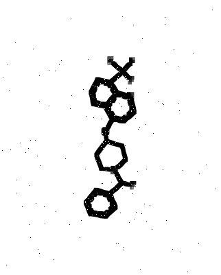 FC(c1ccccc1)N1CCC(Oc2ccnc3c(C(F)(F)F)cccc23)CC1